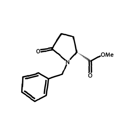 COC(=O)[C@H]1CCC(=O)N1Cc1ccccc1